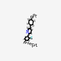 CCCCCCCc1ccc(-c2ccc(C3CCC(CCC)CC3)cn2)c(F)c1